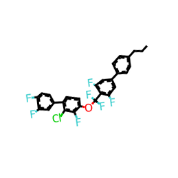 CCCc1ccc(-c2cc(F)c(C(F)(F)Oc3ccc(-c4ccc(F)c(F)c4)c(Cl)c3F)c(F)c2)cc1